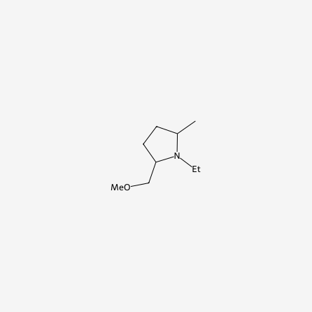 CCN1C(C)CCC1COC